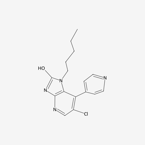 CCCCCn1c(O)nc2ncc(Cl)c(-c3ccncc3)c21